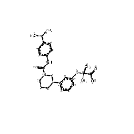 CC(C)c1ccc(NC(=O)N2CCCC(c3cccc(OC(C)(C)C(=O)O)c3)C2)cc1